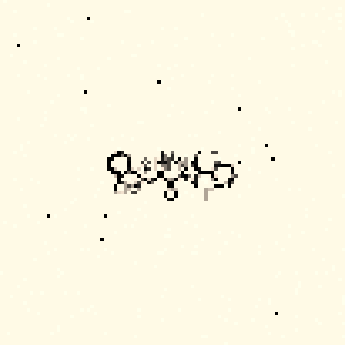 CCn1c(C(=O)C(=N)CS(=O)(=O)c2ccccc2Cl)nc(-c2c(F)cccc2F)c1C